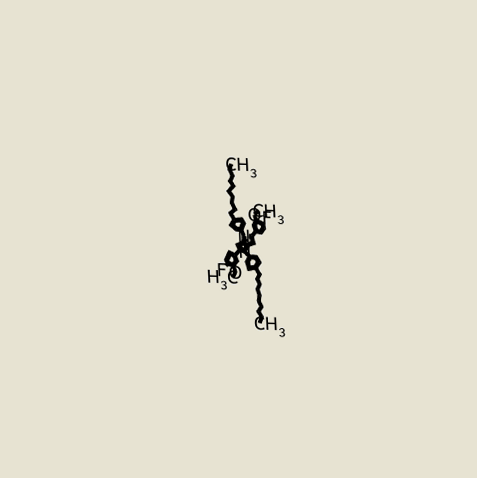 CCCCCCCCCCc1ccc(-n2c(-c3ccc(F)c(OC)c3)cc3c2cc(-c2ccc(F)c(OC)c2)n3-c2ccc(CCCCCCCCCC)cc2)cc1